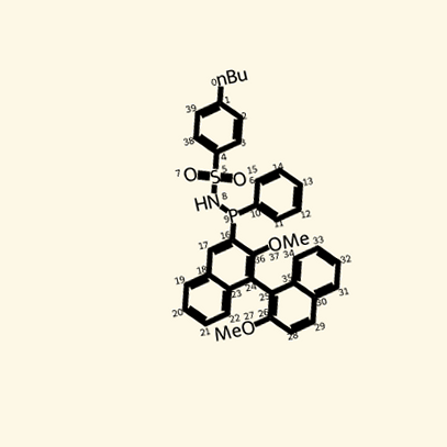 CCCCc1ccc(S(=O)(=O)NP(c2ccccc2)c2cc3ccccc3c(-c3c(OC)ccc4ccccc34)c2OC)cc1